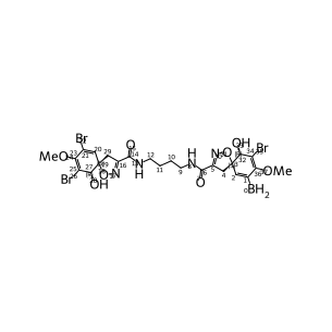 BC1=C[C@@]2(CC(C(=O)NCCCCNC(=O)C3=NO[C@]4(C=C(Br)C(OC)=C(Br)[C@@H]4O)C3)=NO2)[C@@H](O)C(Br)=C1OC